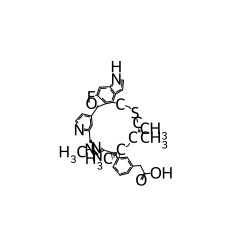 Cn1nc2nc1-c1cc(ccn1)C(=O)c1c(F)cc3[nH]ccc3c1CCSCC(C)(C)CCC[C@]2(C)c1cccc(CC(=O)O)c1